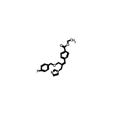 CCOC(=O)c1ccc(/C=C(\COCc2ccc(F)cc2)Cn2ccnc2)cc1